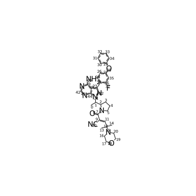 CC(C1CCCN1C(=O)C(C#N)=CC(C)(C)N1CCOCC1)n1nc(-c2ccc(Oc3ccccc3)cc2F)c2c(N)ncnc21